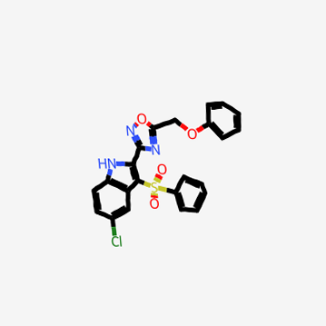 O=S(=O)(c1ccccc1)c1c(-c2noc(COc3ccccc3)n2)[nH]c2ccc(Cl)cc12